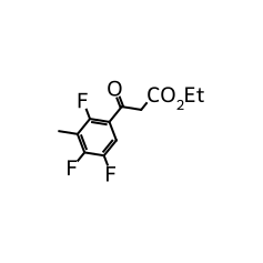 CCOC(=O)CC(=O)c1cc(F)c(F)c(C)c1F